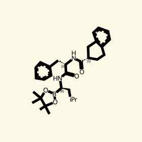 CC(C)C[C@H](NC(=O)[C@H](Cc1ccccc1)NC(=O)[C@H]1CCc2ccccc2C1)B1OC(C)(C)C(C)(C)O1